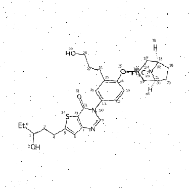 CCC(O)CCc1cc2ncn(-c3ccc(O[C@H]4C[C@H]5CC[C@@H](C4)N5C)c(CCCO)c3)c(=O)c2s1